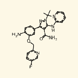 CC(C)(C)n1nc(-c2ccc(N)c(OCc3ccc(F)cn3)c2)c(C(N)=O)c1Nc1ccccn1